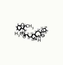 Cc1oc2ccccc2c1CN(C)C(=O)C=Cc1cnc2c(c1)CCC(N1CCCC1)C(=O)N2